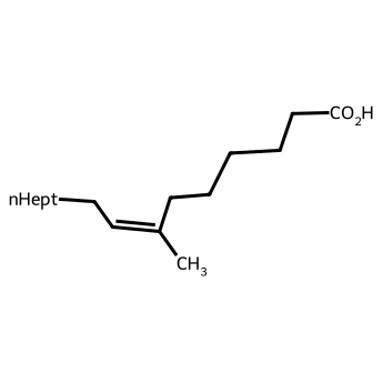 CCCCCCCCC=C(C)CCCCCC(=O)O